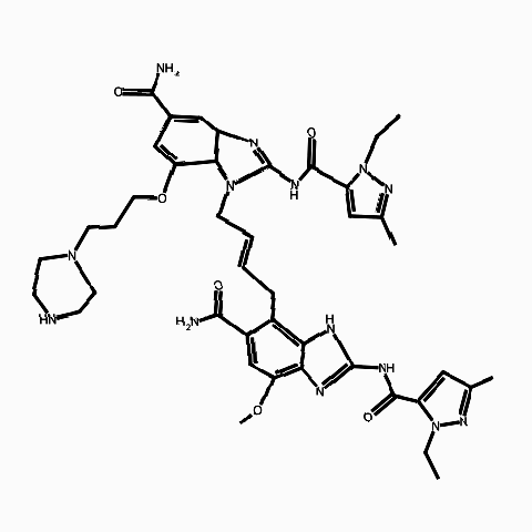 CCn1nc(C)cc1C(=O)NC1=NC2C=C(C(N)=O)C=C(OCCCN3CCNCC3)C2N1C/C=C/Cc1c(C(N)=O)cc(OC)c2nc(NC(=O)c3cc(C)nn3CC)[nH]c12